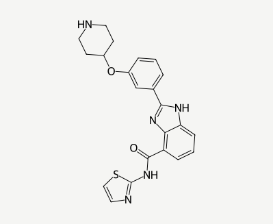 O=C(Nc1nccs1)c1cccc2[nH]c(-c3cccc(OC4CCNCC4)c3)nc12